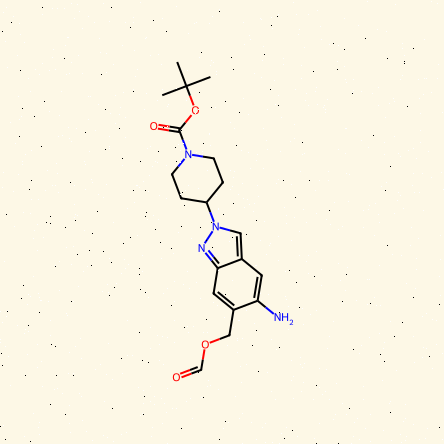 CC(C)(C)OC(=O)N1CCC(n2cc3cc(N)c(COC=O)cc3n2)CC1